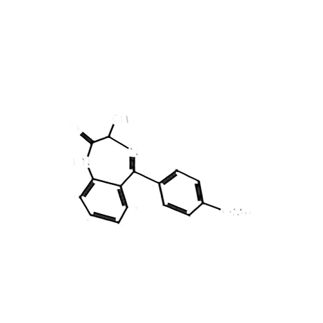 COc1ccc(C2=NC(C)C(=O)Nc3ccccc32)cc1